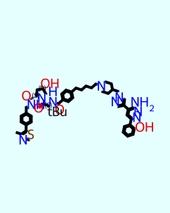 Cc1ncsc1-c1ccc(CNC(=O)[C@@H]2C[C@@H](O)CN2C(=O)[C@@H](NC(=O)c2ccc(CCCCCN3CCC(Cn4cc(-c5cc(-c6ccccc6O)nnc5N)cn4)CC3)cc2)C(C)(C)C)cc1